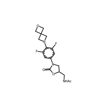 CC(=O)NCC1CN(c2cc(F)c(N3CC4(COC4)C3)c(F)c2)C(=O)O1